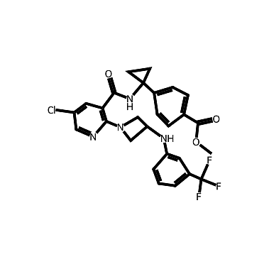 COC(=O)c1ccc(C2(NC(=O)c3cc(Cl)cnc3N3CC(Nc4cccc(C(F)(F)F)c4)C3)CC2)cc1